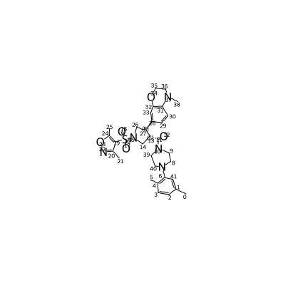 Cc1ccc(C)c(N2CCN(C(=O)[C@@H]3CN(S(=O)(=O)c4c(C)noc4C)C[C@H]3c3ccc4c(c3)OCCN4C)CC2)c1